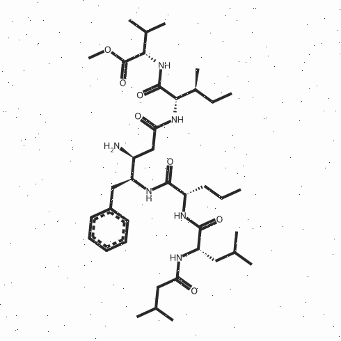 CCC[C@H](NC(=O)[C@H](CC(C)C)NC(=O)CC(C)C)C(=O)N[C@@H](Cc1ccccc1)[C@@H](N)CC(=O)N[C@H](C(=O)N[C@H](C(=O)OC)C(C)C)[C@@H](C)CC